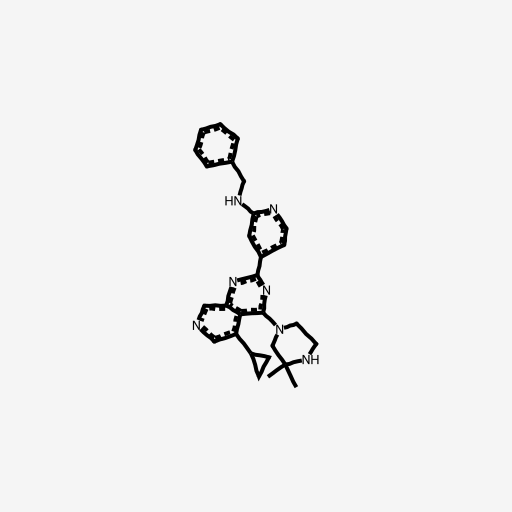 CC1(C)CN(c2nc(-c3ccnc(NCc4ccccc4)c3)nc3cncc(C4CC4)c23)CCN1